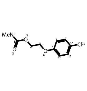 CNC(=O)OCCOc1ccc(Cl)cc1